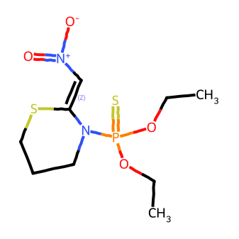 CCOP(=S)(OCC)N1CCCS/C1=C\[N+](=O)[O-]